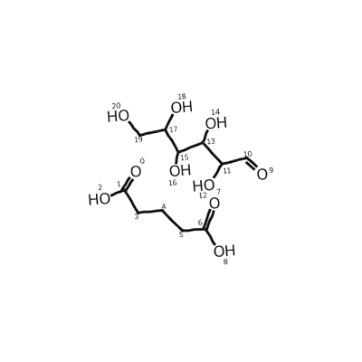 O=C(O)CCCC(=O)O.O=CC(O)C(O)C(O)C(O)CO